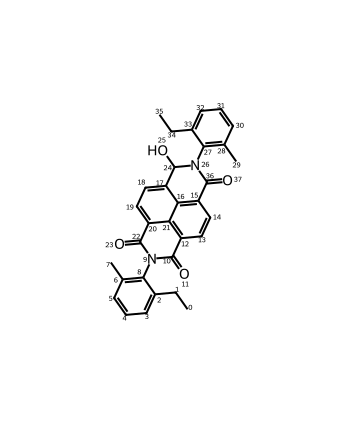 CCc1cccc(C)c1N1C(=O)c2ccc3c4c(ccc(c24)C1=O)C(O)N(c1c(C)cccc1CC)C3=O